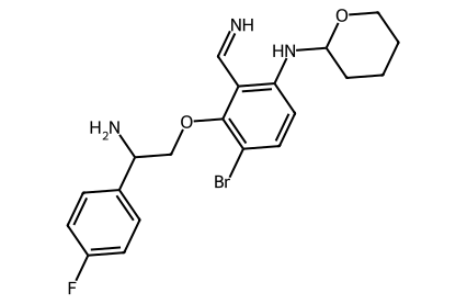 N=Cc1c(NC2CCCCO2)ccc(Br)c1OCC(N)c1ccc(F)cc1